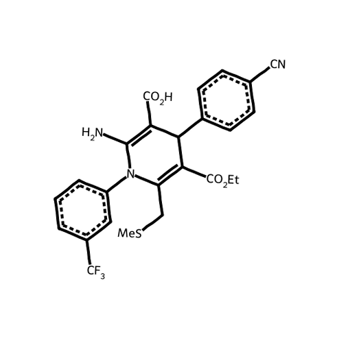 CCOC(=O)C1=C(CSC)N(c2cccc(C(F)(F)F)c2)C(N)=C(C(=O)O)C1c1ccc(C#N)cc1